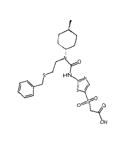 C[C@H]1CC[C@H](N(CCSCc2ccccc2)C(=O)Nc2ncc(S(=O)(=O)CC(=O)O)s2)CC1